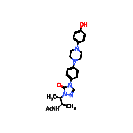 CC(=O)N[C@@H](C)[C@@H](C)n1ncn(-c2ccc(N3CCN(c4ccc(O)cc4)CC3)cc2)c1=O